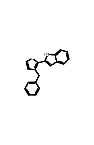 c1ccc(Cc2ccsc2-c2cc3ccccc3[nH]2)cc1